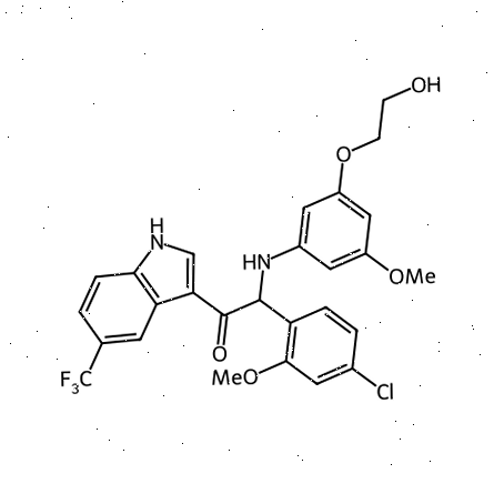 COc1cc(NC(C(=O)c2c[nH]c3ccc(C(F)(F)F)cc23)c2ccc(Cl)cc2OC)cc(OCCO)c1